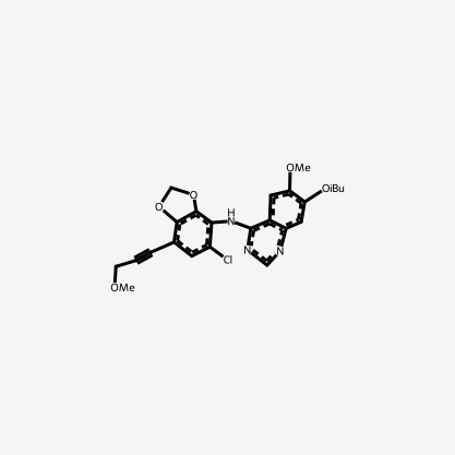 COCC#Cc1cc(Cl)c(Nc2ncnc3cc(OCC(C)C)c(OC)cc23)c2c1OCO2